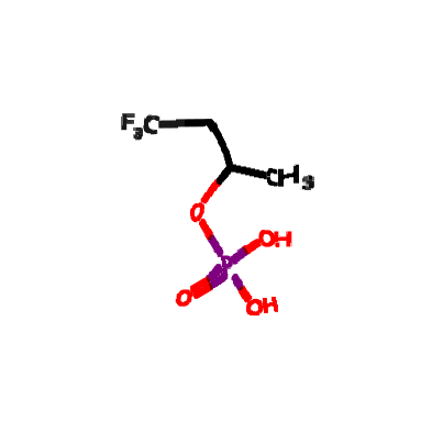 CC(CC(F)(F)F)OP(=O)(O)O